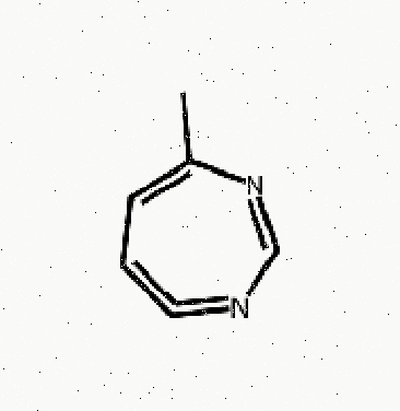 CC1=CC=C=NC=N1